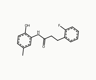 Cc1ccc(O)c(NC(=O)CCc2ccccc2F)c1